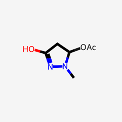 CC(=O)OC1CC(O)=NN1C